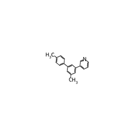 Cc1ccc(-c2cc(C)cc(-c3cccnc3)c2)cc1